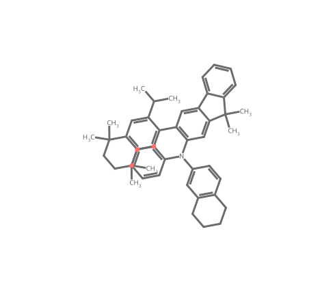 CC(C)c1cc2c(cc1-c1cc3c(cc1N(c1ccccc1)c1ccc4c(c1)CCCC4)C(C)(C)c1ccccc1-3)C(C)(C)CCC2(C)C